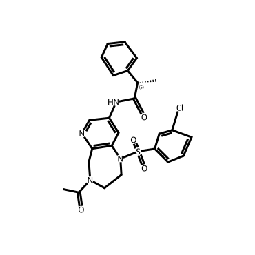 CC(=O)N1CCN(S(=O)(=O)c2cccc(Cl)c2)c2cc(NC(=O)[C@@H](C)c3ccccc3)cnc2C1